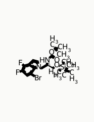 CC(C)(C)OC(=O)N[C@@H](CO[Si](C)(C)C(C)(C)C)Cn1ccc2c(F)c(F)cc(Br)c21